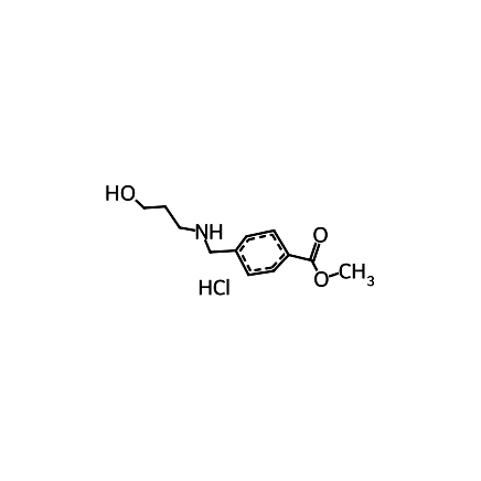 COC(=O)c1ccc(CNCCCO)cc1.Cl